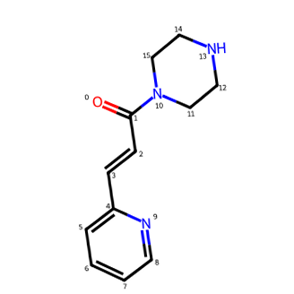 O=C(C=Cc1ccccn1)N1CCNCC1